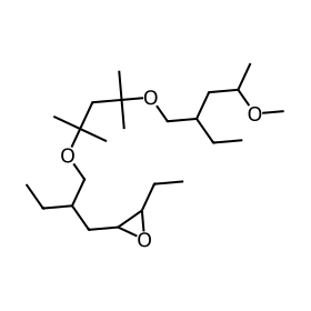 CCC(COC(C)(C)CC(C)(C)OCC(CC)CC1OC1CC)CC(C)OC